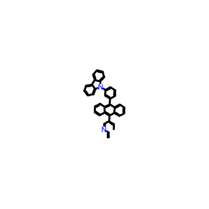 C=C/N=C\C(=C/C)c1c2ccccc2c(-c2cccc(-n3c4ccccc4c4ccccc43)c2)c2ccccc12